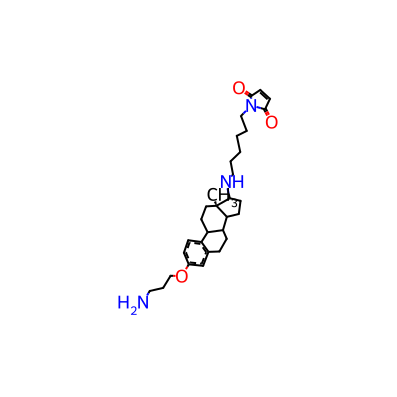 C[C@]12CCC3c4ccc(OCCCN)cc4CCC3C1CCC2NCCCCCCN1C(=O)C=CC1=O